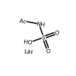 CC(=O)NS(=O)(=O)O.[LiH]